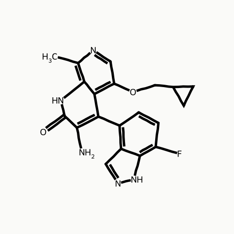 Cc1ncc(OCC2CC2)c2c(-c3ccc(F)c4[nH]ncc34)c(N)c(=O)[nH]c12